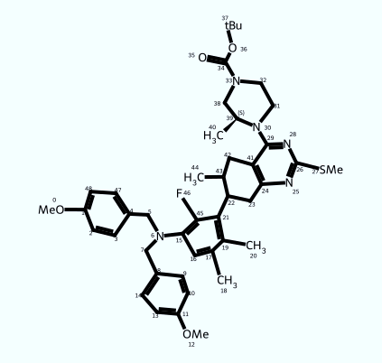 COc1ccc(CN(Cc2ccc(OC)cc2)c2cc(C)c(C)c(C3Cc4nc(SC)nc(N5CCN(C(=O)OC(C)(C)C)C[C@@H]5C)c4CC3C)c2F)cc1